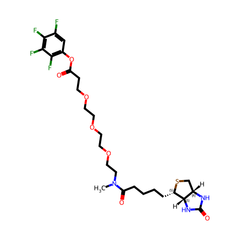 CN(CCOCCOCCOCCC(=O)Oc1cc(F)c(F)c(F)c1F)C(=O)CCCC[C@@H]1SC[C@@H]2NC(=O)N[C@@H]21